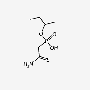 CCC(C)OP(=O)(O)CC(N)=S